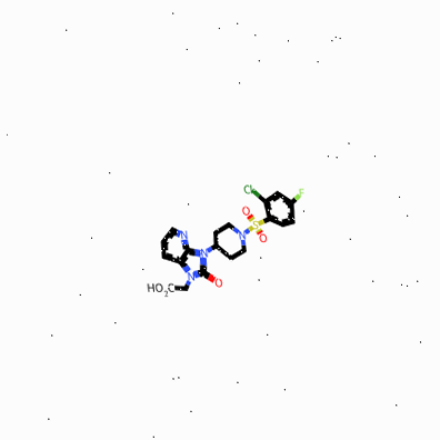 O=C(O)Cn1c(=O)n(C2CCN(S(=O)(=O)c3ccc(F)cc3Cl)CC2)c2ncccc21